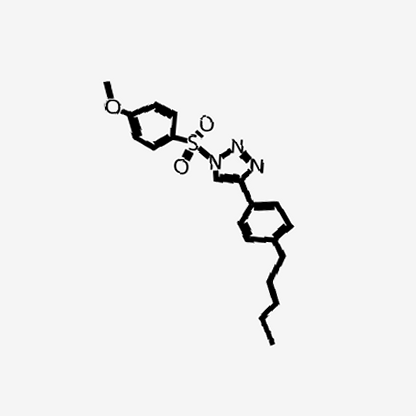 CCCCCc1ccc(-c2cn(S(=O)(=O)c3ccc(OC)cc3)nn2)cc1